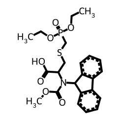 CCOP(=O)(CSCC(C(=O)O)N(C(=O)OC)C1c2ccccc2-c2ccccc21)OCC